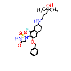 C[Si](C)(O)CCCNC1CCc2cc(OCc3ccccc3)c(N3CC(=O)NS3(=O)=O)c(F)c2C1